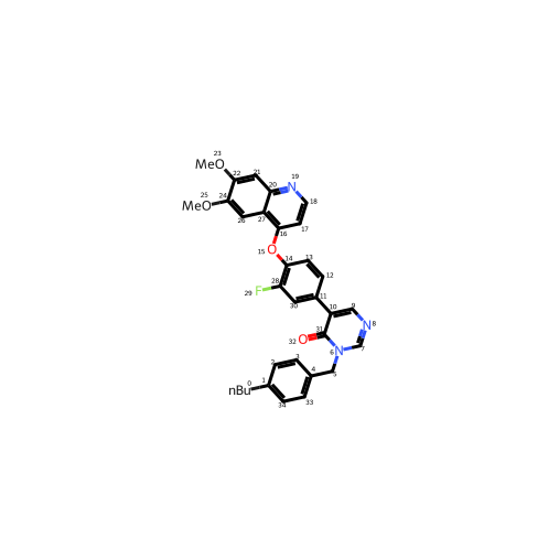 CCCCc1ccc(Cn2cncc(-c3ccc(Oc4ccnc5cc(OC)c(OC)cc45)c(F)c3)c2=O)cc1